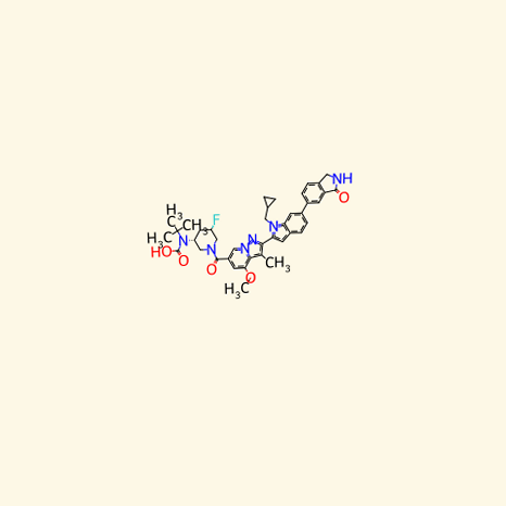 COc1cc(C(=O)N2C[C@H](F)C[C@@H](N(C(=O)O)C(C)(C)C)C2)cn2nc(-c3cc4ccc(-c5ccc6c(c5)C(=O)NC6)cc4n3CC3CC3)c(C)c12